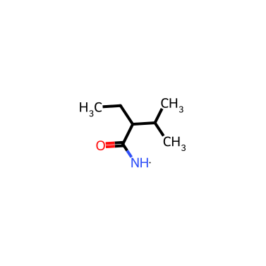 CCC(C([NH])=O)C(C)C